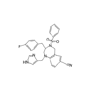 N#Cc1ccc2c(c1)CN(S(=O)(=O)c1ccccc1)C(Cc1ccc(F)cc1)CN2Cc1c[nH]cn1